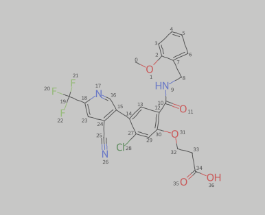 COc1ccccc1CNC(=O)c1cc(-c2cnc(C(F)(F)F)cc2C#N)c(Cl)cc1OCCC(=O)O